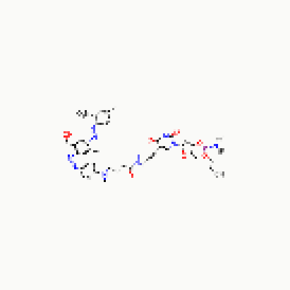 Cc1ccc(/N=N/c2cc(CO)c(/N=N\c3ccc(N(C)CCCC(=O)NCC#Cc4cn(C5CC(OP(OCCC#N)N(C(C)C)C(C)C)C(C)O5)c(=O)[nH]c4=O)cc3)cc2C)c([N+](=O)[O-])c1